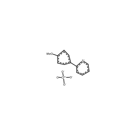 COc1ccc(-c2cccc[s+]2)cc1.[O-][Cl+3]([O-])([O-])[O-]